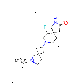 CCOC(=O)N1CCC2(CC(N3CCC4(CNC(=O)C4)C(F)C3)C2)C1